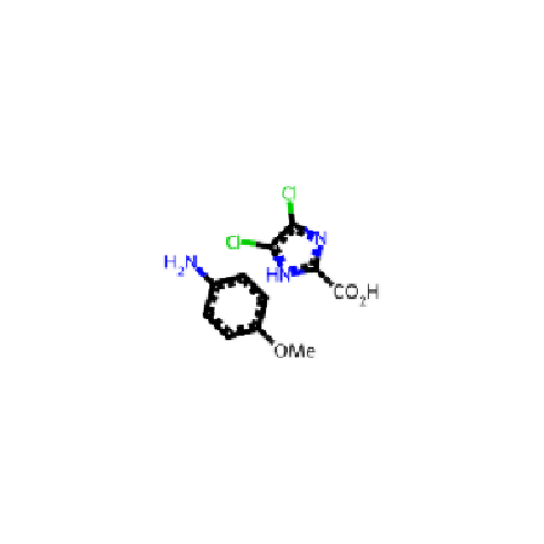 COc1ccc(N)cc1.O=C(O)c1nc(Cl)c(Cl)[nH]1